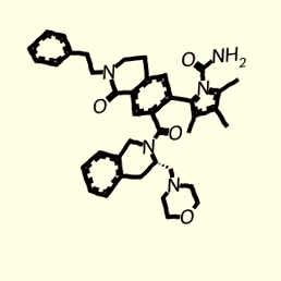 Cc1c(C)c(-c2cc3c(cc2C(=O)N2Cc4ccccc4C[C@H]2CN2CCOCC2)C(=O)N(CCc2ccccc2)CC3)n(C(N)=O)c1C